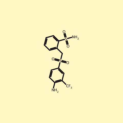 Nc1ccc(S(=O)(=O)Cc2ccccc2S(N)(=O)=O)cc1C(F)(F)F